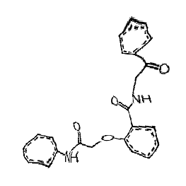 O=C(COc1ccccc1C(=O)NCC(=O)c1ccccc1)Nc1ccccc1